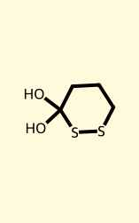 OC1(O)CCCSS1